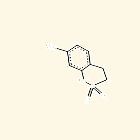 CNc1ccc2c(c1)NS(=O)(=O)CC2